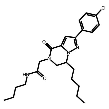 CCCCCC1CN(CC(=O)NCCCC)C(=O)c2cc(-c3ccc(Cl)cc3)nn21